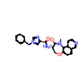 CN1C(=O)[C@@H](NC(=O)c2cn(Cc3ccccc3)cn2)COc2ccc3cnccc3c21